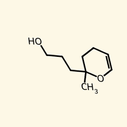 CC1(CCCO)CCC=CO1